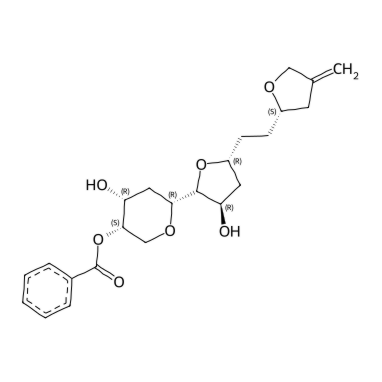 C=C1CO[C@@H](CC[C@@H]2C[C@@H](O)C([C@H]3C[C@@H](O)[C@@H](OC(=O)c4ccccc4)CO3)O2)C1